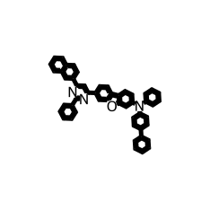 c1ccc(-c2ccc(N(c3ccccc3)c3ccc4c(c3)oc3cc(-c5cc(-c6ccc7ccccc7c6)nc(-c6ccccc6)n5)ccc34)cc2)cc1